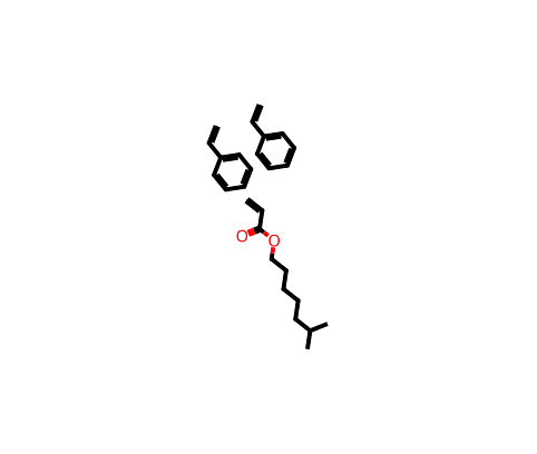 C=CC(=O)OCCCCCC(C)C.C=Cc1ccccc1.C=Cc1ccccc1